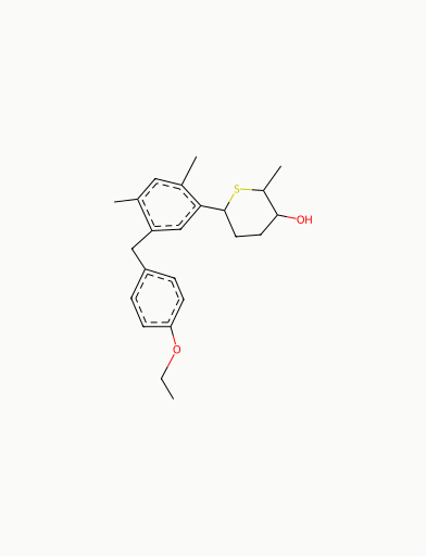 CCOc1ccc(Cc2cc(C3CCC(O)C(C)S3)c(C)cc2C)cc1